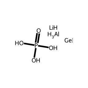 O=P(O)(O)O.[AlH3].[Ge].[LiH]